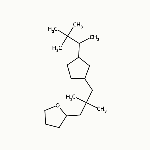 CC(C1CCC(CC(C)(C)CC2CCCO2)C1)C(C)(C)C